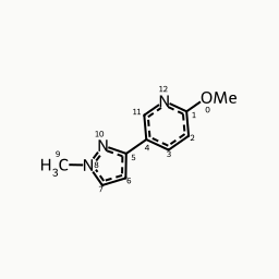 COc1ccc(-c2ccn(C)n2)cn1